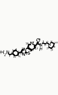 NCc1ccc(-c2cn3c(n2)sc2cc(C(=O)NCCCN4CCCCC4)ncc23)cc1